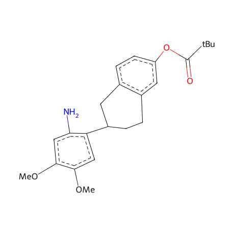 COc1cc(N)c(C2CCc3cc(OC(=O)C(C)(C)C)ccc3C2)cc1OC